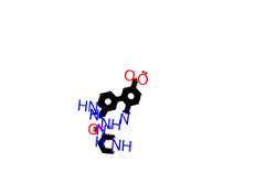 COC(=O)c1ccc(C#N)c(-c2ccc3[nH]nc(N[NH+]([O-])[C@@H]4CCCNC4)c3c2)c1